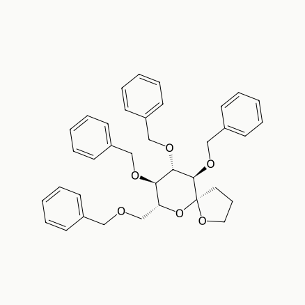 c1ccc(COC[C@H]2O[C@@]3(CCCO3)[C@H](OCc3ccccc3)[C@@H](OCc3ccccc3)[C@@H]2OCc2ccccc2)cc1